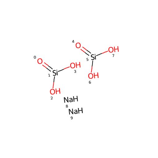 O=[Si](O)O.O=[Si](O)O.[NaH].[NaH]